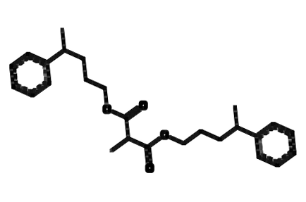 CC(C(=O)OCCCC(C)c1ccccc1)C(=O)OCCCC(C)c1ccccc1